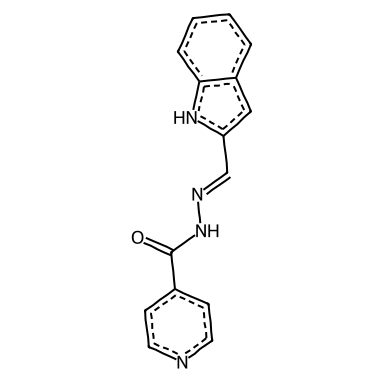 O=C(N/N=C/c1cc2ccccc2[nH]1)c1ccncc1